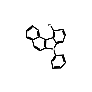 CC(C)c1cccc2c1c1c3ccccc3ccc1n2-c1ccccc1